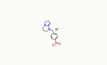 O=C([O-])c1ccc(CN2CCCN3CCC=C32)cc1.[K+]